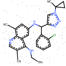 CC(C)(C)CNc1c(C#N)cnc2c(C#N)cc(NC(c3cn(C4(C#N)CC4)nn3)c3ccccc3Cl)cc12